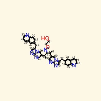 CC(C(=NOCCO)C(C)c1cnc2ncc(Cc3ccc4ncccc4c3)n2c1)c1cnc2ncc(Cc3ccc4ncccc4c3)n2c1